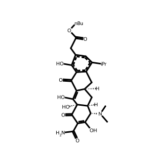 CCCCOC(=O)Cc1cc(C(C)C)c2c(c1O)C(=O)C1=C(O)[C@]3(O)C(=O)C(C(N)=O)=C(O)[C@@H](N(C)C)[C@@H]3C[C@@H]1C2